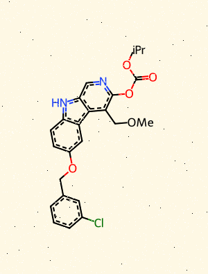 COCc1c(OC(=O)OC(C)C)ncc2[nH]c3ccc(OCc4cccc(Cl)c4)cc3c12